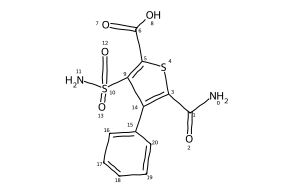 NC(=O)c1sc(C(=O)O)c(S(N)(=O)=O)c1-c1ccccc1